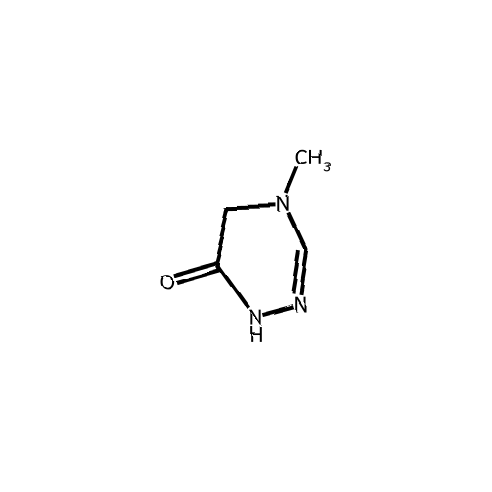 CN1C=NNC(=O)C1